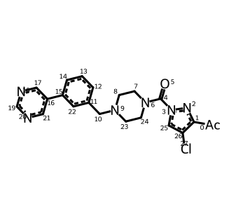 CC(=O)c1nn(C(=O)N2CCN(Cc3cccc(-c4cncnc4)c3)CC2)cc1Cl